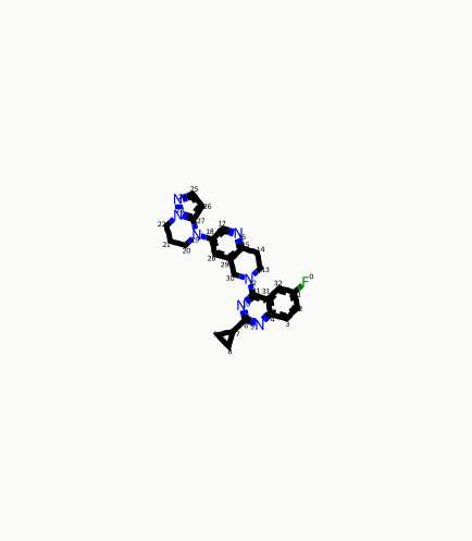 Fc1ccc2nc(C3CC3)nc(N3CCc4ncc(N5CCCn6nccc65)cc4C3)c2c1